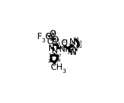 Cc1ccc(-n2nc(OS(=O)(=O)C(F)(F)F)cc2NC(=O)c2cnn3cccnc23)cc1